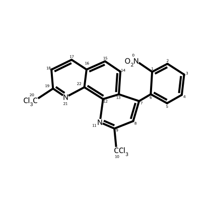 O=[N+]([O-])c1ccccc1-c1cc(C(Cl)(Cl)Cl)nc2c1ccc1ccc(C(Cl)(Cl)Cl)nc12